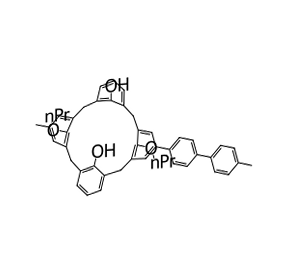 CCCOc1c2cc(C)cc1Cc1cccc(c1O)Cc1cc(-c3ccc(-c4ccc(C)cc4)cc3)cc(c1OCCC)Cc1cccc(c1O)C2